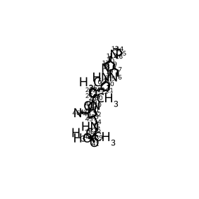 Cc1c(Nc2nccc3cc(CN4CCCC4)cnc23)cccc1-c1cccc(-c2nc3cc(CNCC(C)(C)C(=O)O)cc(C#N)c3o2)c1C